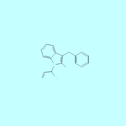 C=CC(N)n1c(C)c(Cc2ccccc2)c2ccccc21